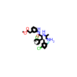 COC(=O)Cc1cccc(NC(=O)[C@H](NC(C)CN)[C@@H](Cc2cc(Cl)ccc2F)c2ccccc2Cl)c1